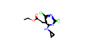 CCOC(=O)Cc1c(Cl)nc(Cl)nc1NC1CC1